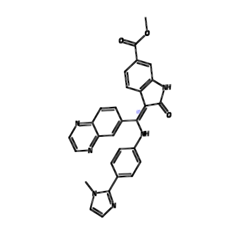 COC(=O)c1ccc2c(c1)NC(=O)/C2=C(\Nc1ccc(-c2nccn2C)cc1)c1ccc2nccnc2c1